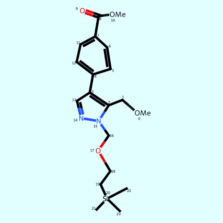 COCc1c(-c2ccc(C(=O)OC)cc2)cnn1COCC[Si](C)(C)C